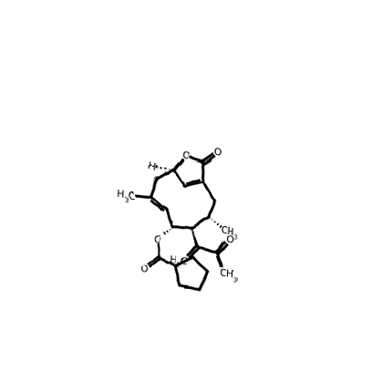 C=C(C(C)=O)[C@@H]1[C@@H](C)CC2=C[C@@H](C/C(C)=C/[C@H]1OC(=O)C1CCCC1)OC2=O